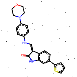 O=C1Nc2cc(-c3cccs3)ccc2/C1=C/Nc1ccc(N2CCOCC2)cc1